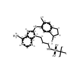 CC(C)(C)S(=O)(=O)NCCCn1c(Sc2cc3c(cc2I)CCC3F)nc2c(N)ncnc21